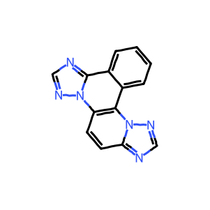 c1ccc2c(c1)c1ncnn1c1ccc3ncnn3c21